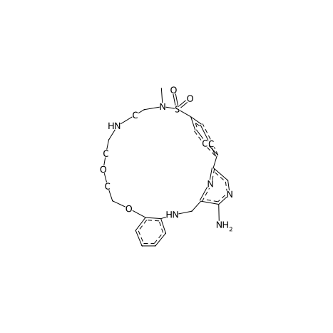 CN1CCNCCOCCOc2ccccc2NCc2nc(cnc2N)-c2ccc(cc2)S1(=O)=O